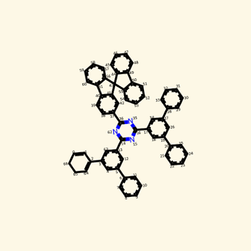 C1=CC(c2cc(-c3ccccc3)cc(-c3nc(-c4cc(-c5ccccc5)cc(-c5ccccc5)c4)nc(-c4ccc5c(c4)C4(c6ccccc6-c6ccccc64)c4ccccc4-5)n3)c2)=CCC1